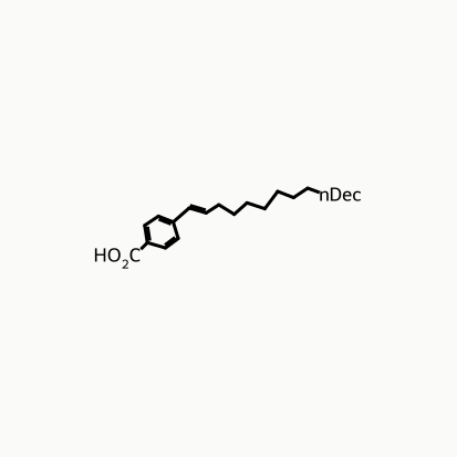 CCCCCCCCCCCCCCCCCC=Cc1ccc(C(=O)O)cc1